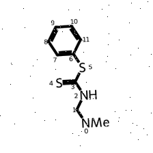 CNCNC(=S)Sc1ccccc1